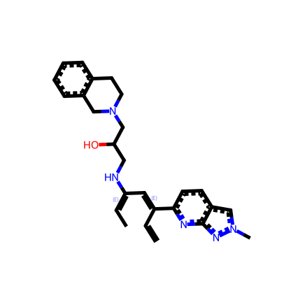 C=C/C(=C\C(=C/C)NCC(O)CN1CCc2ccccc2C1)c1ccc2cn(C)nc2n1